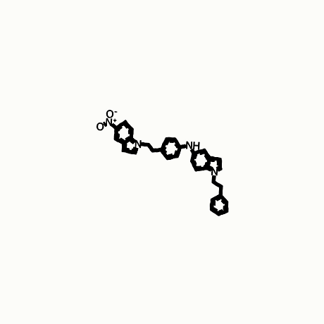 O=[N+]([O-])c1ccc2c(ccn2CCc2ccc(Nc3ccc4c(ccn4CCc4ccccc4)c3)cc2)c1